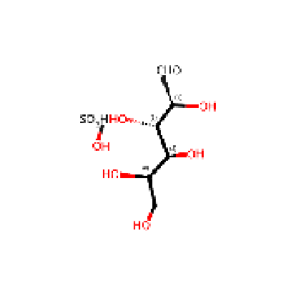 O=C[C@@H](O)[C@@H](O)[C@@H](O)[C@H](O)CO.O=S(=O)(O)O